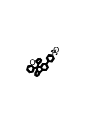 CP(C)(=O)c1ccc(-c2ccc3c(c2)C2(c4ccccc4Oc4ccccc42)c2ccccc2-3)cc1